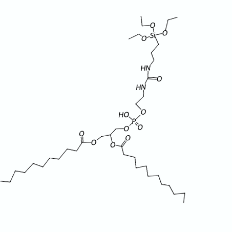 CCCCCCCCCCCC(=O)OCC(COP(=O)(O)OCCNC(=O)NCCC[Si](OCC)(OCC)OCC)OC(=O)CCCCCCCCCCC